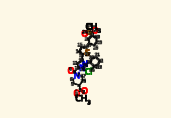 COC(=O)C1CCN(C(=O)c2cc(-c3ccc(-c4cccc(S(C)(=O)=O)c4)s3)n(-c3ccccc3Cl)n2)CC1